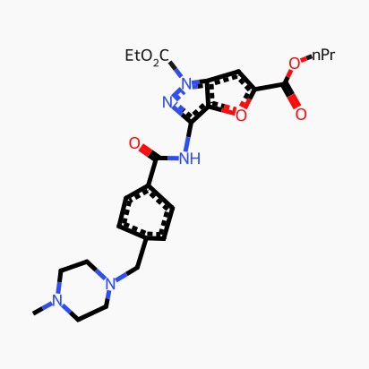 CCCOC(=O)c1cc2c(o1)c(NC(=O)c1ccc(CN3CCN(C)CC3)cc1)nn2C(=O)OCC